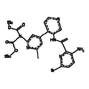 C=C(Nc1cnccc1-c1cc(C)nc(N(C(=O)OC(C)(C)C)C(=O)OC(C)(C)C)c1)c1nc(Br)ccc1N